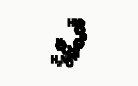 Cc1c(N2CCC(Oc3ccc4[nH]ccc4c3)CC2)nnc(C(N)=O)c1Cc1ccncc1